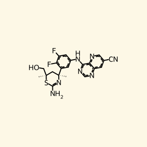 C[C@]1(CO)C[C@@](C)(c2cc(Nc3ncnc4cc(C#N)cnc34)cc(F)c2F)N=C(N)S1